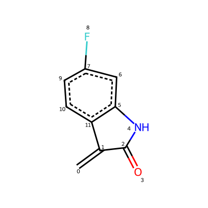 C=C1C(=O)Nc2cc(F)ccc21